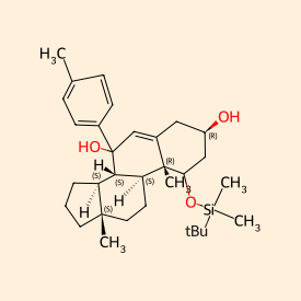 Cc1ccc(C2(O)C=C3C[C@@H](O)CC(O[Si](C)(C)C(C)(C)C)[C@]3(C)[C@H]3CC[C@]4(C)CCC[C@H]4[C@@H]32)cc1